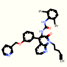 C#CCCCn1c(=O)c(NC(=O)Nc2c(C(C)C)cccc2C(C)C)c(-c2cccc(OCc3cccnc3)c2)c2cccnc21